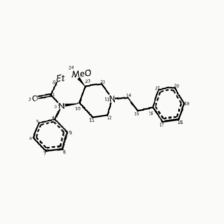 CCC(=O)N(c1ccccc1)[C@@H]1CCN(CCc2ccccc2)C[C@@H]1OC